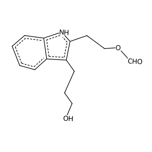 O=COCCc1[nH]c2ccccc2c1CCCO